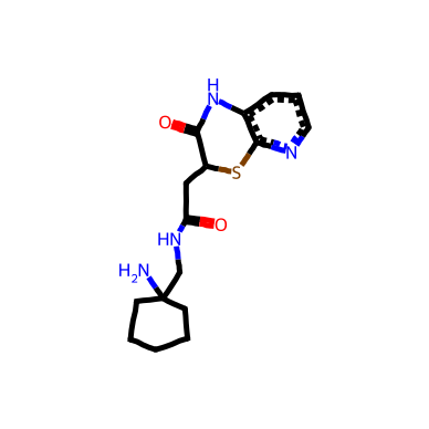 NC1(CNC(=O)CC2Sc3ncccc3NC2=O)CCCCC1